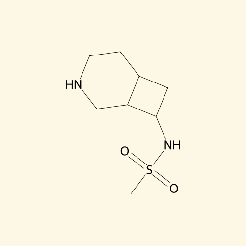 CS(=O)(=O)NC1CC2CCNCC21